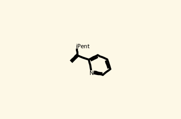 C=C(c1ccccn1)C(C)CCC